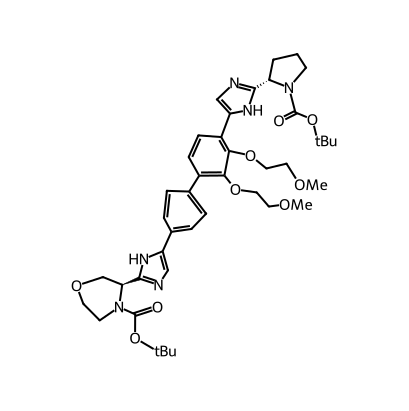 COCCOc1c(-c2ccc(-c3cnc([C@@H]4COCCN4C(=O)OC(C)(C)C)[nH]3)cc2)ccc(-c2cnc([C@@H]3CCCN3C(=O)OC(C)(C)C)[nH]2)c1OCCOC